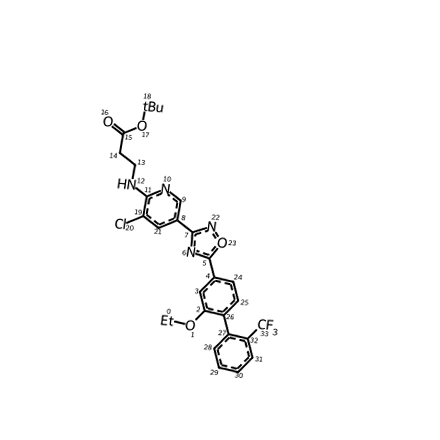 CCOc1cc(-c2nc(-c3cnc(NCCC(=O)OC(C)(C)C)c(Cl)c3)no2)ccc1-c1ccccc1C(F)(F)F